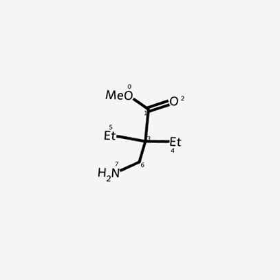 [CH2]OC(=O)C(CC)(CC)CN